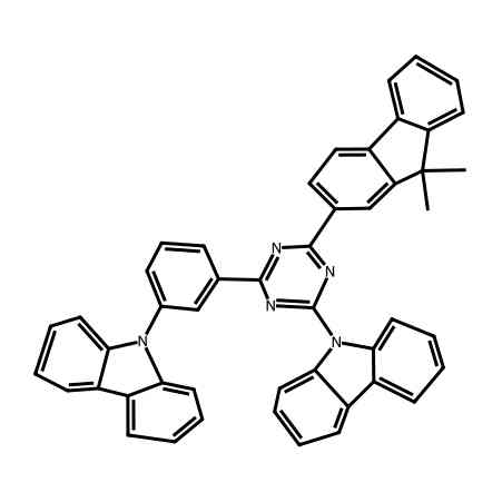 CC1(C)c2ccccc2-c2ccc(-c3nc(-c4cccc(-n5c6ccccc6c6ccccc65)c4)nc(-n4c5ccccc5c5ccccc54)n3)cc21